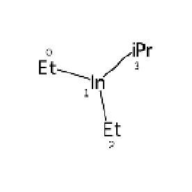 C[CH2][In]([CH2]C)[CH](C)C